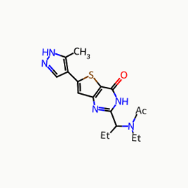 CCC(c1nc2cc(-c3cn[nH]c3C)sc2c(=O)[nH]1)N(CC)C(C)=O